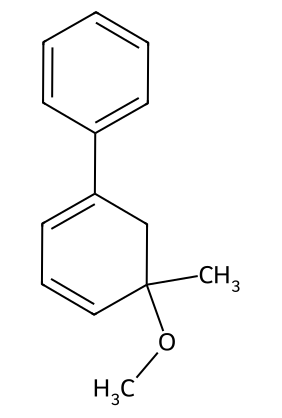 COC1(C)C=CC=C(c2ccccc2)C1